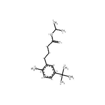 CC(C)OC(=O)CCCc1cc(C(C)(C)C)cnc1N